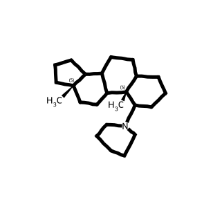 C[C@@]12CCCC1C1CCC3CCCC(N4CCCCC4)[C@]3(C)C1CC2